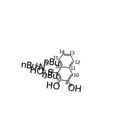 CCCCN(CCCC)CCCC.O=S(=O)(O)c1c(O)c(O)cc2ccccc12